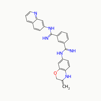 C=C1COc2cc(NC(=N)c3cccc(C(=N)Nc4ccc5cccnc5c4)c3)ccc2N1